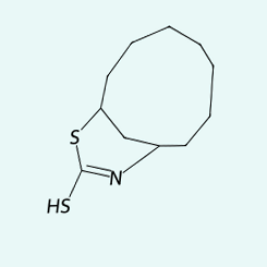 SC1=NC2CCCCCCCC(C2)S1